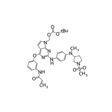 C=CC(=O)Nc1cccc(Oc2nc(Nc3ccc(N(C)C4CCN(S(C)(=O)=O)C4)cc3)nc3c2ccn3COC(=O)OC(C)(C)C)c1